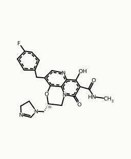 CNC(=O)c1c(O)c2ncc(Cc3ccc(F)cc3)c3c2n(c1=O)C[C@H](CN1C=NCC1)O3